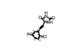 O=C1NC(=O)C(C#Cc2cc(F)ccc2Cl)N1